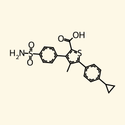 Cc1c(-c2ccc(C3CC3)cc2)sc(C(=O)O)c1-c1ccc(S(N)(=O)=O)cc1